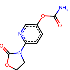 NC(=O)Oc1ccc(N2CCOC2=O)nc1